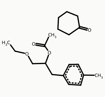 CCOCC(Cc1ccc(C)cc1)OC(C)=O.O=C1CCCCC1